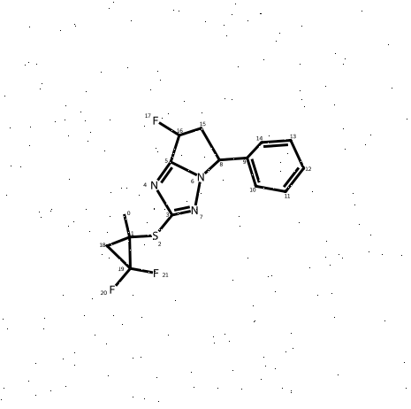 CC1(Sc2nc3n(n2)C(c2ccccc2)CC3F)CC1(F)F